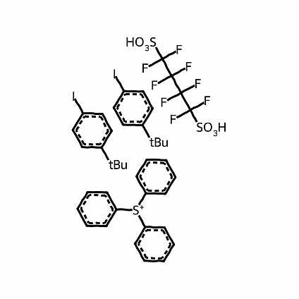 CC(C)(C)c1ccc(I)cc1.CC(C)(C)c1ccc(I)cc1.O=S(=O)(O)C(F)(F)C(F)(F)C(F)(F)C(F)(F)S(=O)(=O)O.c1ccc([S+](c2ccccc2)c2ccccc2)cc1